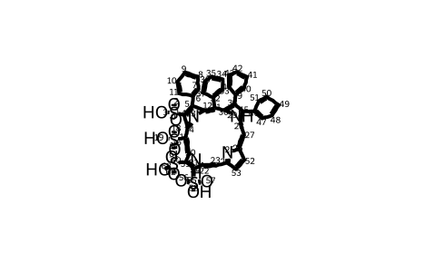 O=S(=O)(O)C1=C(c2ccccc2)c2nc1c(S(=O)(=O)O)c1[nH]c(cc3nc(cc4[nH]c(c2-c2ccccc2)c(-c2ccccc2)c4-c2ccccc2)C=C3)c(S(=O)(=O)O)c1S(=O)(=O)O